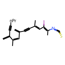 C=C(C#C/C(C)=C/C(I)=C(\C)N=C=S)/C=C(/C)C(=C)C#CCCC